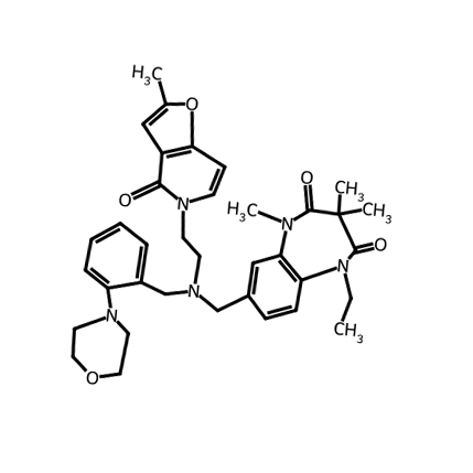 CCN1C(=O)C(C)(C)C(=O)N(C)c2cc(CN(CCn3ccc4oc(C)cc4c3=O)Cc3ccccc3N3CCOCC3)ccc21